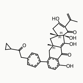 C=C(C)C1=C(O)C[C@@]2(C)C[C@@]3(C)Cc4c(-c5ccc(CC(=O)C6CC6)cc5)ccc(O)c4C(=O)C3=C(O)[C@@]2(O)C1=O